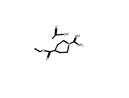 CC(=O)O.CCOC(=O)C1CCN(C(=N)N)CC1